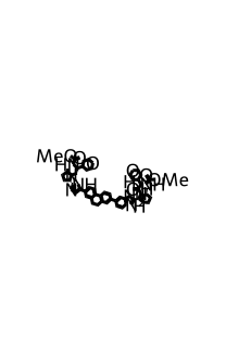 COC(=O)N[C@H](C(=O)N1[C@@H]2CC[C@@H](C2)[C@H]1c1nc2ccc(-c3ccc4c(c3)CCc3cc(-c5cnc([C@@H]6CCCN6C[C@@H](NC(=O)OC)C6CCOCC6)[nH]5)ccc3-4)cc2[nH]1)C1CCOCC1